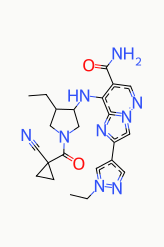 CCC1CN(C(=O)C2(C#N)CC2)CC1Nc1c(C(N)=O)cnn2cc(-c3cnn(CC)c3)nc12